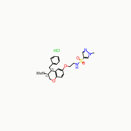 CN[C@@H]1COc2ccc(OCCNS(=O)(=O)c3cnn(C)c3)cc2[C@@H]1Cc1ccccc1.Cl